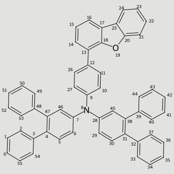 c1ccc(-c2ccc(N(c3ccc(-c4cccc5c4oc4ccccc45)cc3)c3ccc(-c4ccccc4)c(-c4ccccc4)c3)cc2-c2ccccc2)cc1